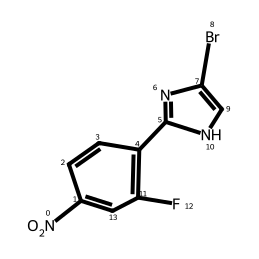 O=[N+]([O-])c1ccc(-c2nc(Br)c[nH]2)c(F)c1